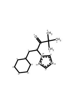 CC(C)(C)C(=O)C(CC1CCCCC1)n1cncn1